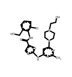 Cc1nc(Nc2ncc(C(=O)Nc3c(Cl)cccc3CO)s2)cc(N2CCN(CCO)CC2)n1